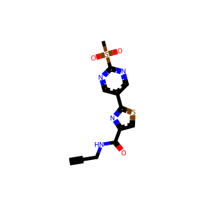 C#CCNC(=O)c1csc(-c2cnc(S(C)(=O)=O)nc2)n1